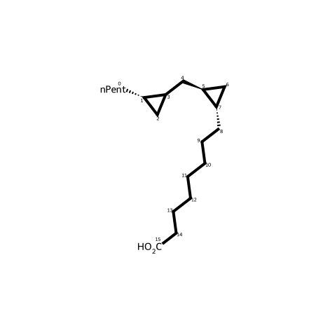 CCCCC[C@H]1CC1C[C@H]1C[C@@H]1CCCCCCCC(=O)O